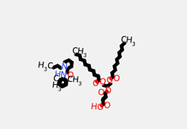 CCCCCCCCCCCC(=O)OCC(COC(=O)CCCCCCCCCCC)OC(=O)/C=C/C(=O)O.CCCCN1CCCCC1C(=O)Nc1c(C)cccc1C